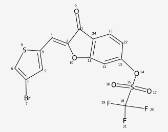 O=C1/C(=C/c2cc(Br)cs2)Oc2cc(OS(=O)(=O)C(F)(F)F)ccc21